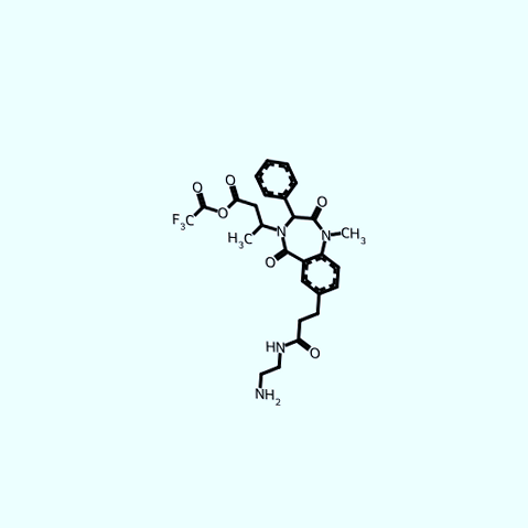 CC(CC(=O)OC(=O)C(F)(F)F)N1C(=O)c2cc(CCC(=O)NCCN)ccc2N(C)C(=O)C1c1ccccc1